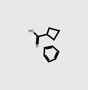 O=C(O)C1CCC1.c1ccccc1